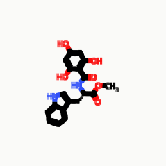 COC(=O)[C@H](Cc1c[nH]c2ccccc12)NC(=O)c1c(O)cc(O)cc1O